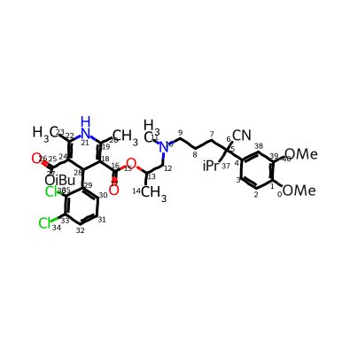 COc1ccc(C(C#N)(CCCN(C)CC(C)OC(=O)C2=C(C)NC(C)=C(C(=O)OCC(C)C)C2c2cccc(Cl)c2Cl)C(C)C)cc1OC